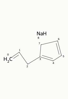 C=CCC1=CC=CC1.[NaH]